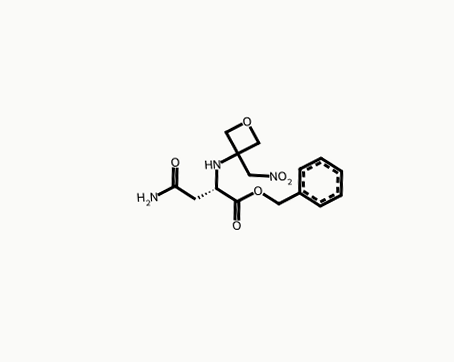 NC(=O)C[C@H](NC1(C[N+](=O)[O-])COC1)C(=O)OCc1ccccc1